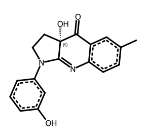 Cc1ccc2c(c1)C(=O)[C@]1(O)CCN(c3cccc(O)c3)C1=N2